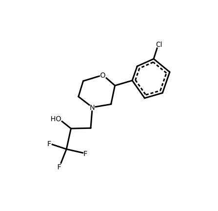 OC(CN1CCOC(c2cccc(Cl)c2)C1)C(F)(F)F